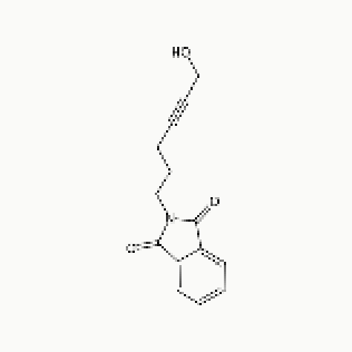 O=C1c2ccccc2C(=O)N1CCCC#CCO